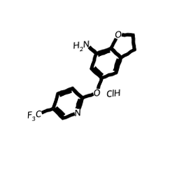 Cl.Nc1cc(Oc2ccc(C(F)(F)F)cn2)cc2c1OCC2